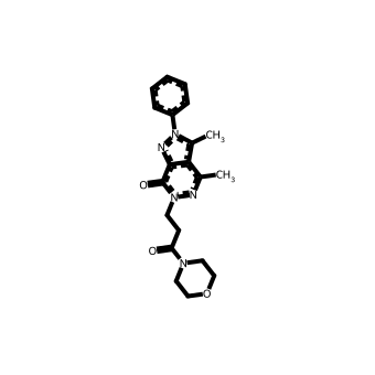 Cc1nn(CCC(=O)N2CCOCC2)c(=O)c2nn(-c3ccccc3)c(C)c12